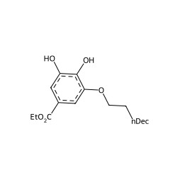 CCCCCCCCCCCCOc1cc(C(=O)OCC)cc(O)c1O